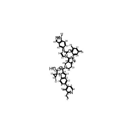 CCc1nccc(-c2ccc3c(c2)cc(C(=O)N2CCc4nn(-c5cc(C)cc(C)c5)c(-n5ccn(-c6ccc7c(cnn7C)c6)c5=O)c4C2)n3[C@@]2(C(=O)O)C[C@@H]2C)c1C